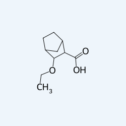 CCOC1C2CCC(C2)C1C(=O)O